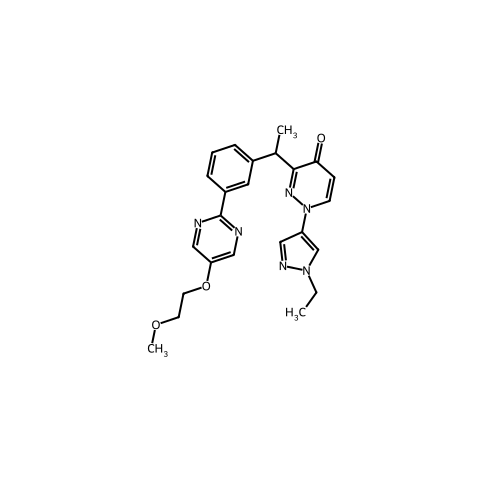 CCn1cc(-n2ccc(=O)c(C(C)c3cccc(-c4ncc(OCCOC)cn4)c3)n2)cn1